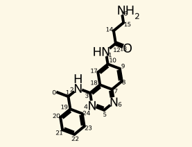 CC(Nc1ncnc2ccc(NC(=O)CCN)cc12)c1ccccc1